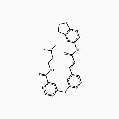 CN(C)CCNC(=O)c1cc(Oc2cccc(/C=C/C(=O)Nc3ccc4c(c3)CCC4)c2)ccn1